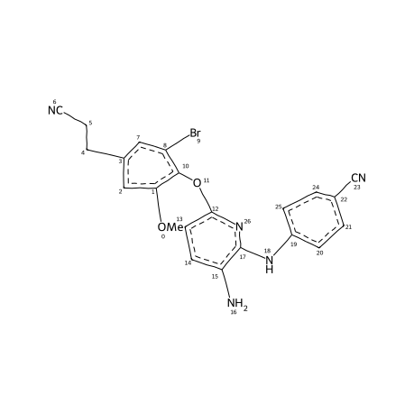 COc1cc(CCC#N)cc(Br)c1Oc1ccc(N)c(Nc2ccc(C#N)cc2)n1